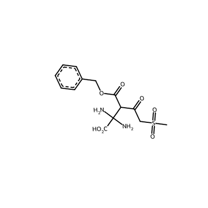 CS(=O)(=O)CC(=O)C(C(=O)OCc1ccccc1)C(N)(N)C(=O)O